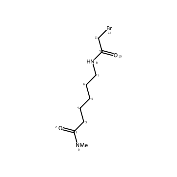 CNC(=O)CCCCCNC(=O)CBr